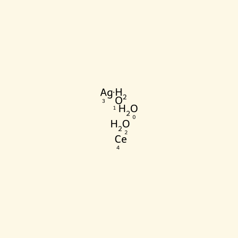 O.O.O.[Ag].[Ce]